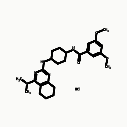 COc1cc(OC)cc(C(=O)NC2CCC(Nc3nc4c(c(N(C)C)n3)CCCC4)CC2)c1.Cl